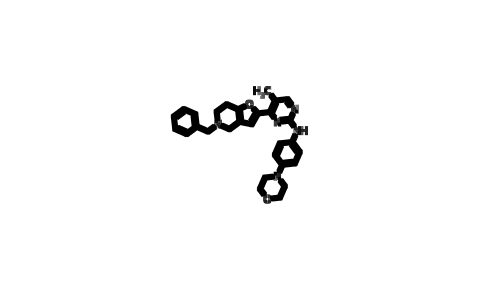 Cc1cnc(Nc2ccc(N3CCOCC3)cc2)nc1-c1cc2c(o1)CCN(Cc1ccccc1)C2